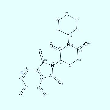 C=C/C=C\C1=C(C=C)C(=O)N(C2CCC(=O)N(C3CCCCC3)C2=O)C1=O